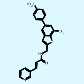 O=C(/C=C/c1cccnc1)NCc1cc2cc(-c3ccc(C(=O)O)cc3)cc(C(F)(F)F)c2o1